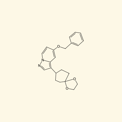 c1ccc(COc2ccn3ncc(C4CCC5(CC4)OCCO5)c3c2)cc1